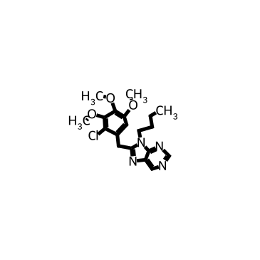 CCCCn1c(Cc2cc(OC)c(OC)c(OC)c2Cl)nc2cncnc21